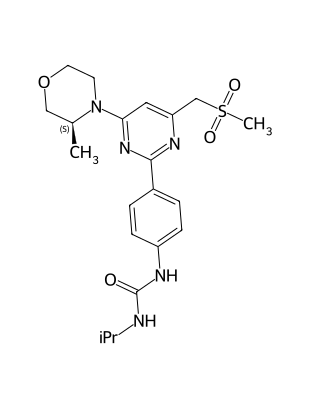 CC(C)NC(=O)Nc1ccc(-c2nc(CS(C)(=O)=O)cc(N3CCOC[C@@H]3C)n2)cc1